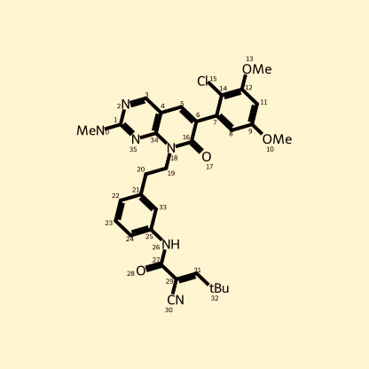 CNc1ncc2cc(-c3cc(OC)cc(OC)c3Cl)c(=O)n(CCc3cccc(NC(=O)C(C#N)=CC(C)(C)C)c3)c2n1